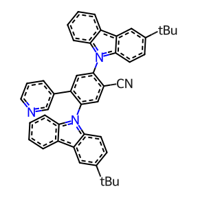 CC(C)(C)c1ccc2c(c1)c1ccccc1n2-c1cc(-c2cccnc2)c(-n2c3ccccc3c3cc(C(C)(C)C)ccc32)cc1C#N